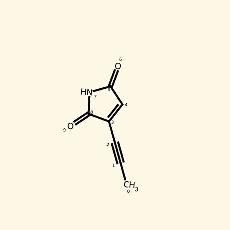 CC#CC1=CC(=O)NC1=O